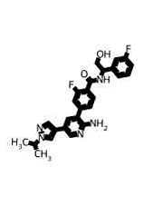 CC(C)n1cc(-c2cnc(N)c(-c3ccc(C(=O)NC(CO)c4cccc(F)c4)c(F)c3)c2)cn1